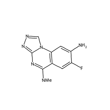 CNc1nc2nncn2c2cc(N)c(F)cc12